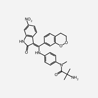 CN(C(=O)C(C)(C)N)c1ccc(N/C(=C2\C(=O)Nc3cc([N+](=O)[O-])ccc32)c2ccc3c(c2)OOCC3)cc1